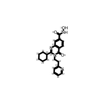 O=C(NO)c1ccc2c(=O)n(CCc3ccccn3)c(C3CCCCC3)nc2c1